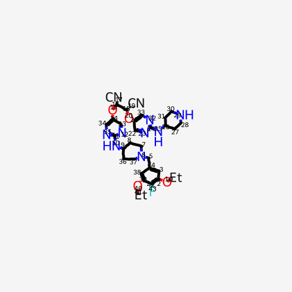 CCOc1cc(CN2CCC(Nc3ncc(OC(C#N)C(C#N)Oc4cnc(NC5CCNCC5)nc4)cn3)CC2)cc(OCC)c1F